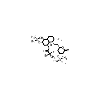 CCC(C)(CC)C(=O)O[C@H]1C[C@H](O[Si](C)(C)C(C)(C)C)C=C2C=C[C@H](C)[C@H](CC[C@@H]3C[C@@H](O[Si](C)(C)C(C)(C)C)CC(=O)O3)[C@H]21